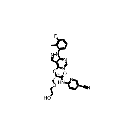 Cc1c(F)cccc1-n1ncc2c(O[C@@H](COCCO)C(=O)Nc3ccc(C#N)cn3)ncnc21